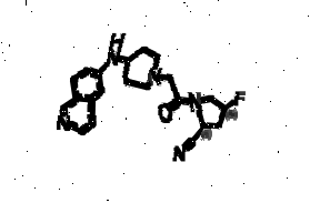 N#C[C@@H]1C[C@H](F)CN1C(=O)CN1CCC(Nc2ccc3cnccc3c2)CC1